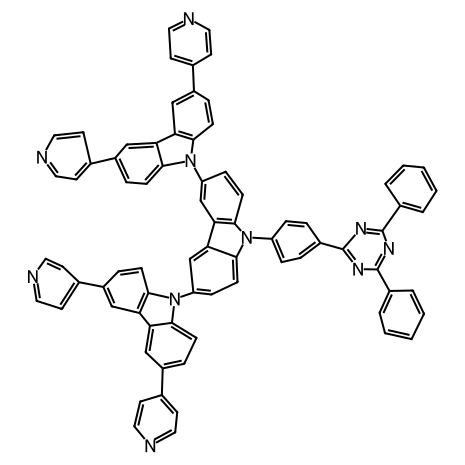 c1ccc(-c2nc(-c3ccccc3)nc(-c3ccc(-n4c5ccc(-n6c7ccc(-c8ccncc8)cc7c7cc(-c8ccncc8)ccc76)cc5c5cc(-n6c7ccc(-c8ccncc8)cc7c7cc(-c8ccncc8)ccc76)ccc54)cc3)n2)cc1